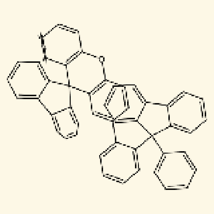 c1ccc(C2(c3ccccc3-c3ccc4c(c3)C3(c5ccccc5-c5ccccc53)c3c(ccc5ccccc35)O4)c3ccccc3-c3ccccc32)cc1